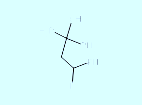 CC(P)(P)CC(F)P